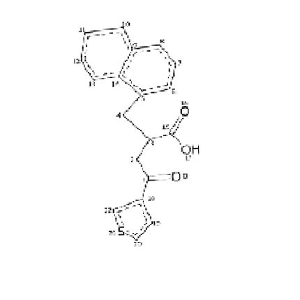 O=C(CC(Cc1cccc2ccccc12)C(=O)O)c1ccsc1